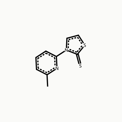 Cc1cccc(-n2ccsc2=S)n1